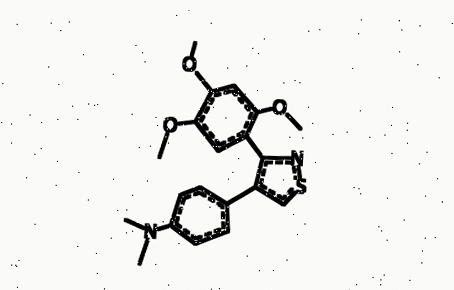 COc1cc(OC)c(-c2nscc2-c2ccc(N(C)C)cc2)cc1OC